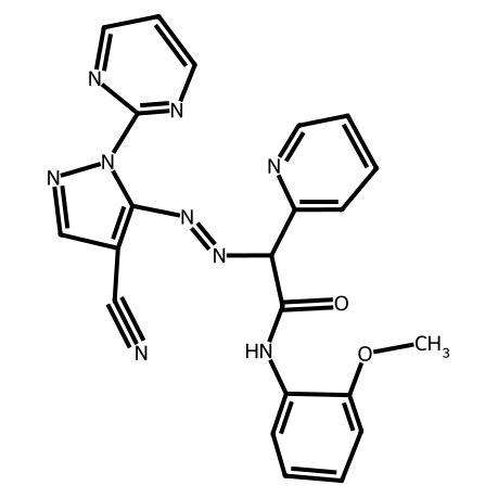 COc1ccccc1NC(=O)C(N=Nc1c(C#N)cnn1-c1ncccn1)c1ccccn1